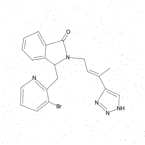 C/C(=C\CN1C(=O)c2ccccc2C1Cc1ncccc1Br)c1c[nH]nn1